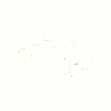 C[C@@H](N)C(=O)N[C@H](C(=O)N1CCC[C@H]1C(=O)N1CCC[C@H]1C(=O)N[C@H](C(N)=O)[C@@H](C)O)[C@@H](C)O